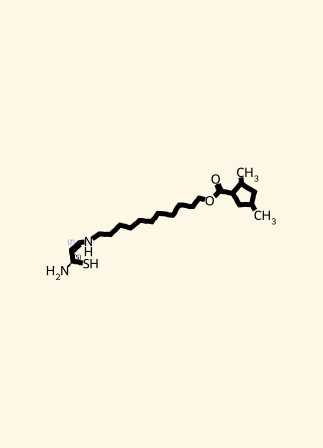 CC1CC(C)C(C(=O)OCCCCCCCCCCCN/C=C\[C@@H](N)S)C1